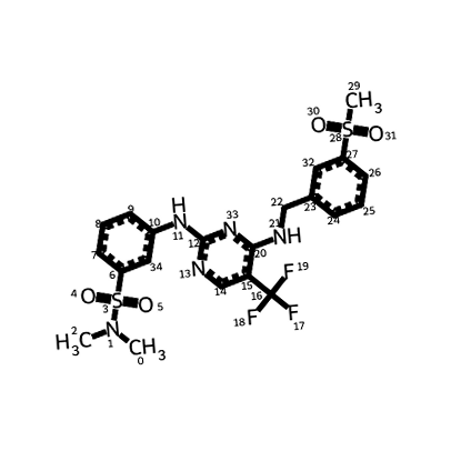 CN(C)S(=O)(=O)c1cccc(Nc2ncc(C(F)(F)F)c(NCc3cccc(S(C)(=O)=O)c3)n2)c1